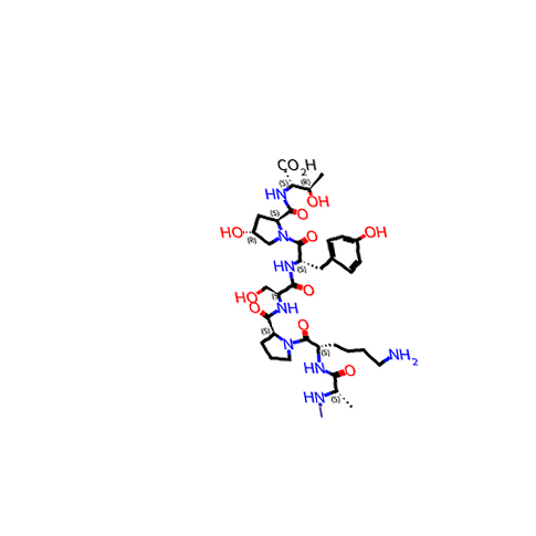 C[C@H](NI)C(=O)N[C@@H](CCCCN)C(=O)N1CCC[C@H]1C(=O)N[C@@H](CO)C(=O)N[C@@H](Cc1ccc(O)cc1)C(=O)N1C[C@H](O)C[C@H]1C(=O)N[C@H](C(=O)O)[C@@H](C)O